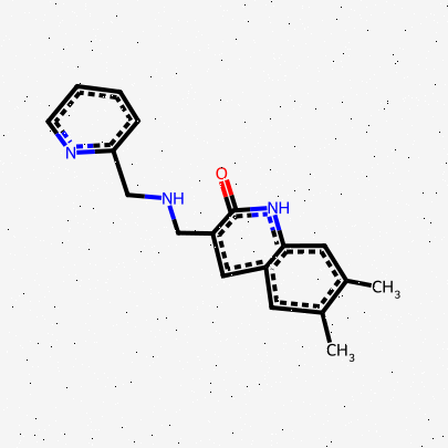 Cc1cc2cc(CNCc3ccccn3)c(=O)[nH]c2cc1C